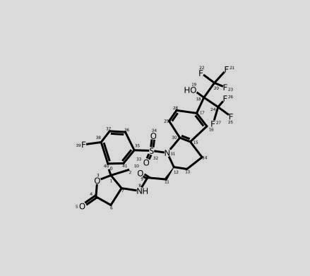 CC1(C)OC(=O)CC1NC(=O)C[C@@H]1CCc2cc(C(O)(C(F)(F)F)C(F)(F)F)ccc2N1S(=O)(=O)c1ccc(F)cc1